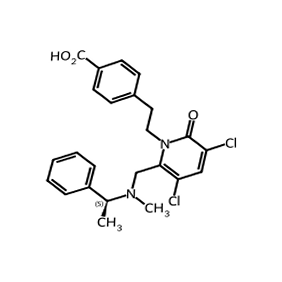 C[C@@H](c1ccccc1)N(C)Cc1c(Cl)cc(Cl)c(=O)n1CCc1ccc(C(=O)O)cc1